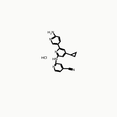 Cl.N#Cc1ccnc(Nc2cc(C3CC3)cc(-c3ccc(N)nc3)n2)c1